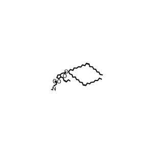 CC/C=C\CC1C(CC(=O)OC(CCCCCCCC/C=C\CCCCCCCC)CCCCCCCC/C=C\CCCCCCCC)CCC1OC(=O)CCN(C)C